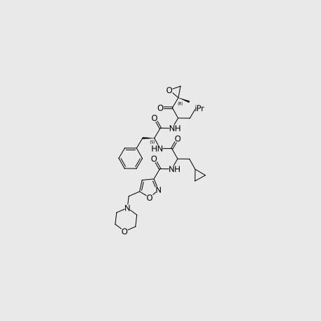 CC(C)CC(NC(=O)[C@H](Cc1ccccc1)NC(=O)C(CC1CC1)NC(=O)c1cc(CN2CCOCC2)on1)C(=O)[C@@]1(C)CO1